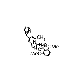 COc1cccc(OC)c1S(=O)(=O)Nc1ncc2cc(Cn3cccn3)cc(C)n12